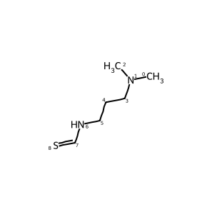 CN(C)CCCNC=S